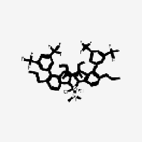 CCCc1ccc2c(c1-c1cc(C(F)(F)F)cc(C(F)(F)F)c1)C=C(C(C)CC)[CH]2[Zr]([Cl])([Cl])([CH]1C(C(C)CC)=Cc2c1ccc(CCC)c2-c1cc(C(F)(F)F)cc(C(F)(F)F)c1)[SiH](C)C